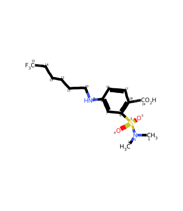 CN(C)S(=O)(=O)c1cc(NCCCCCC(F)(F)F)ccc1C(=O)O